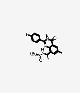 Cc1cc([C@@H](C)N[S+]([O-])C(C)(C)C)c2nc(-c3ccc(F)cc3)n(C)c(=O)c2c1